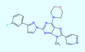 Cn1c(-c2ccncc2)nc2c(N3CCOCC3)nc(-n3ccc(-c4cccc(F)c4)n3)nc21